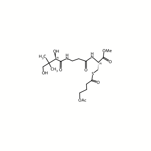 COC(=O)[C@H](CSC(=O)CCCOC(C)=O)NC(=O)CCNC(=O)[C@H](O)C(C)(C)CO